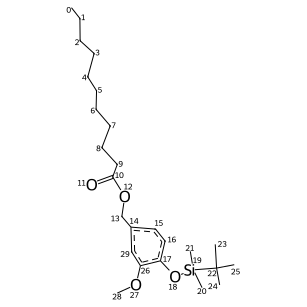 CCCCCCCCCCC(=O)OCc1ccc(O[Si](C)(C)C(C)(C)C)c(OC)c1